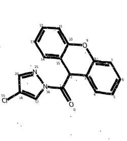 O=C(C1c2ccccc2Oc2ccccc21)n1cc(Cl)cn1